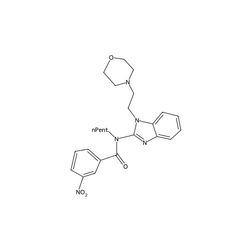 CCCCCN(C(=O)c1cccc([N+](=O)[O-])c1)c1nc2ccccc2n1CCN1CCOCC1